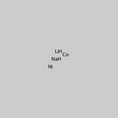 [Co].[LiH].[NaH].[Ni]